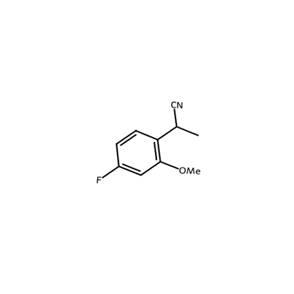 COc1cc(F)ccc1C(C)C#N